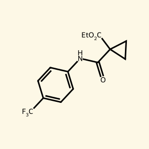 CCOC(=O)C1(C(=O)Nc2ccc(C(F)(F)F)cc2)CC1